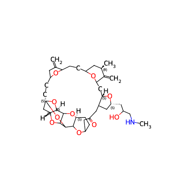 C=C1CC2CC[C@@]34C[C@H]5OC6C(O3)C3OC(CC[C@@H]3OC6[C@@H]5O4)CC(=O)CC3C[C@@H](CC(O)CNC)O[C@H]3CC3OC(CCC1O2)C[C@@H](C)C3=C